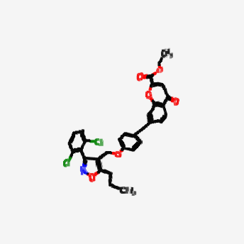 CCCc1onc(-c2c(Cl)cccc2Cl)c1COc1ccc(-c2ccc3c(=O)cc(C(=O)OCC)oc3c2)cc1